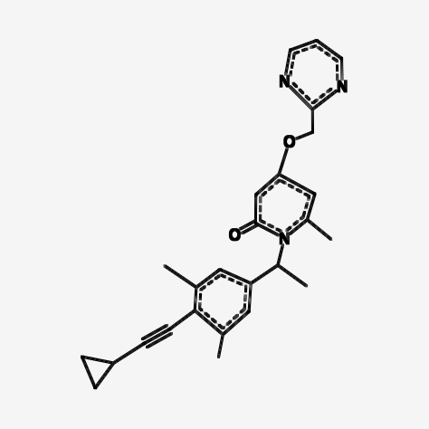 Cc1cc(C(C)n2c(C)cc(OCc3ncccn3)cc2=O)cc(C)c1C#CC1CC1